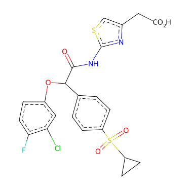 O=C(O)Cc1csc(NC(=O)C(Oc2ccc(F)c(Cl)c2)c2ccc(S(=O)(=O)C3CC3)cc2)n1